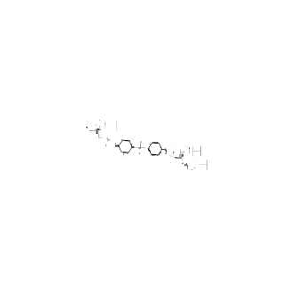 CC(C)(c1ccc(OCCC(O)CI)cc1)c1ccc(OCC(O)CO)cc1